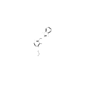 Cc1c(SCCCl)ccnc1CSc1nc2ccccc2[nH]1